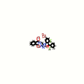 O=C(c1ccc(Br)cc1-n1cnnc1CN1C(=O)c2ccccc2C1=O)c1c(F)cccc1F